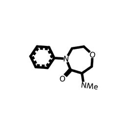 CNC1COCCN(c2ccccc2)C1=O